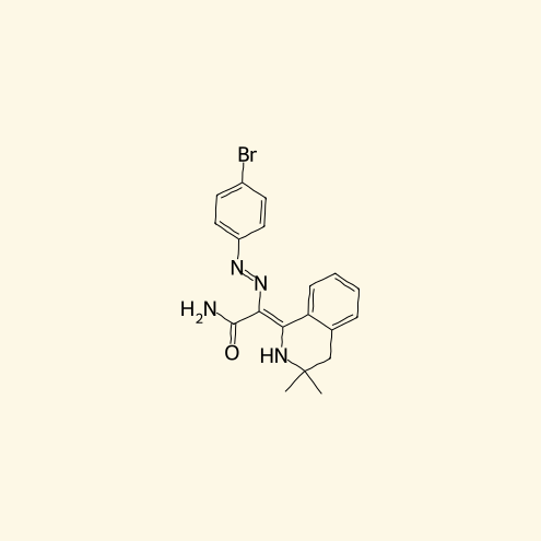 CC1(C)Cc2ccccc2C(=C(N=Nc2ccc(Br)cc2)C(N)=O)N1